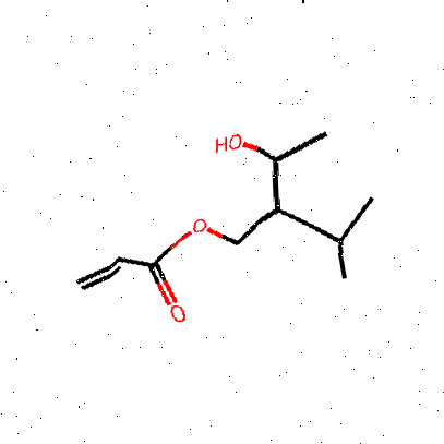 C=CC(=O)OCC(C(C)C)C(C)O